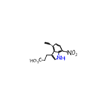 C#Cc1ccc([N+](=O)[O-])c2[nH]cc(CCC(=O)O)c12